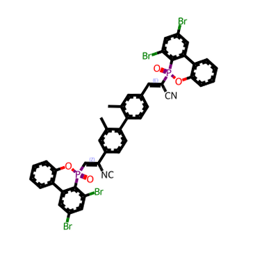 [C-]#[N+]/C(=C\P1(=O)Oc2ccccc2-c2cc(Br)cc(Br)c21)c1ccc(-c2ccc(/C=C(\C#N)P3(=O)Oc4ccccc4-c4cc(Br)cc(Br)c43)cc2C)c(C)c1